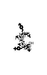 CN[C@@H](CC(C)C)C(=O)O[C@H](CCc1ccc(C(C)(C)C)cc1)C(=O)N(C)[C@@H](CC(C)(C)F)C(=O)O[C@H](C)C(=O)N(C)[C@@H](CC(C)C)C(=O)O[C@H](Cc1ccc(C(C)(C)C)cc1)C(=O)N(C)[C@@H](CC(C)(C)F)C(=O)O[C@H](C)C(=O)O